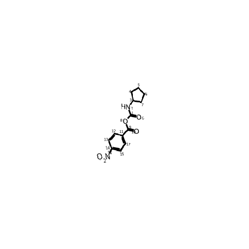 O=C(NC1CCCC1)OC(=O)c1ccc([N+](=O)[O-])cc1